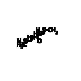 C[SiH2]CNC(=O)NC[SiH2]C